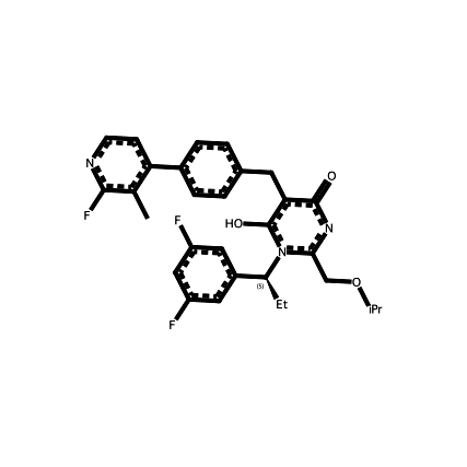 CC[C@@H](c1cc(F)cc(F)c1)n1c(COC(C)C)nc(=O)c(Cc2ccc(-c3ccnc(F)c3C)cc2)c1O